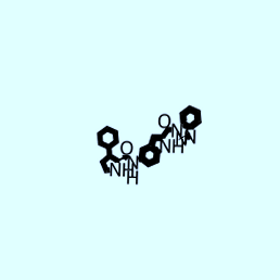 O=C(Nc1ccc2[nH]c(C(=O)n3nnc4ccccc43)cc2c1)[C@H]1NCCC1C1CCCCC1